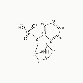 C1OCC2CC1N2.O=S(=O)(O)Cc1ccccc1